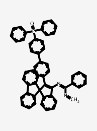 C=N/C(=N\C1=C(c2ccc(-c3ccc(P(=O)(c4ccccc4)c4ccccc4)cc3)cc2)C2(c3ccccc31)c1ccccc1-c1ccccc12)c1ccccc1